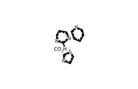 O=C(O)c1ncccn1.c1ccncc1.c1cscn1